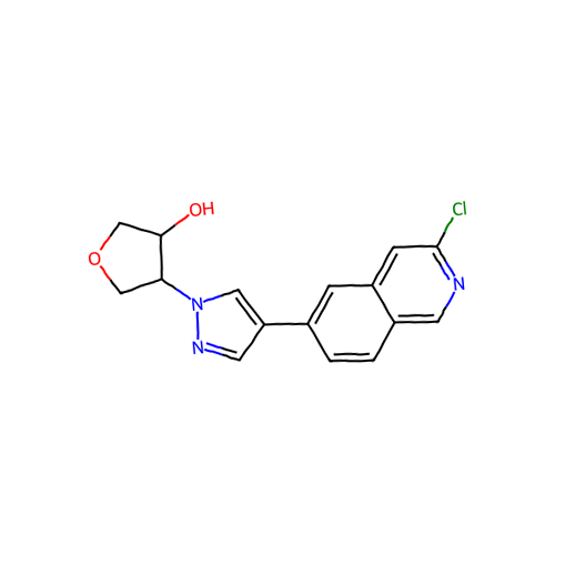 OC1COCC1n1cc(-c2ccc3cnc(Cl)cc3c2)cn1